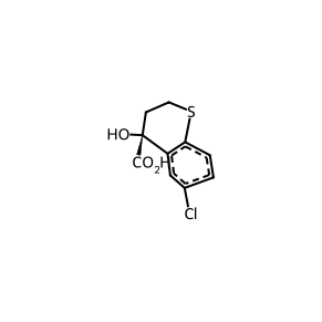 O=C(O)[C@@]1(O)CCSc2ccc(Cl)cc21